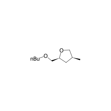 CCCCOC[C@@H]1C[C@H](C)CO1